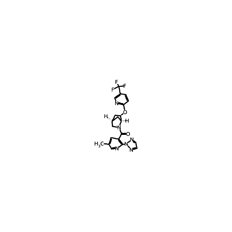 Cc1cnc(-n2nccn2)c(C(=O)N2C[C@H]3C[C@@H](Oc4ccc(C(F)(F)F)cn4)[C@@H]2C3)c1